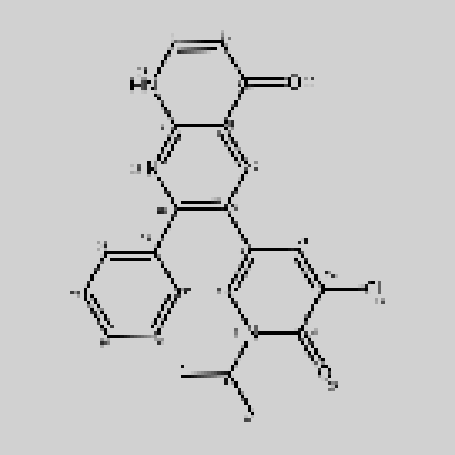 CC(C)n1cc(-c2cc3c(=O)cc[nH]c3nc2-c2ccccc2)cc(Cl)c1=O